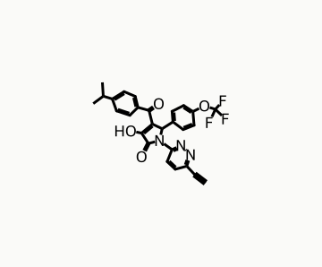 C#Cc1ccc(N2C(=O)C(O)=C(C(=O)c3ccc(C(C)C)cc3)C2c2ccc(OC(F)(F)F)cc2)nn1